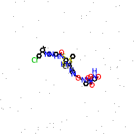 CC1(C)CCC(c2ccc(Cl)cc2)=C(CN2CCN(c3ccc(C(=O)NSc4ccc(NC(CCN5CCN(CCOCCNc6cccc7c6C(=O)N(C6CCC(=O)NC6=O)C7=O)CC5)CSc5ccccc5)c(SC(F)(F)F)c4)cc3)CC2)C1